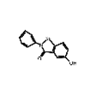 O=c1c2cc(O)ccc2[se]n1-c1ccccc1